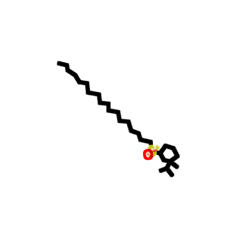 CCCCCCCCCCCCCCCCCC[S+]([O-])C1CCCC(C)(C(C)C)C1